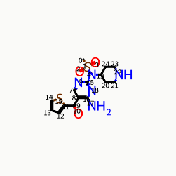 CS(=O)(=O)N(c1ncc(C(=O)c2cccs2)c(N)n1)C1CCNCC1